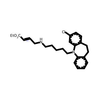 CCOC(=O)/C=C/CNCCCCCN1c2ccccc2CCc2ccc(Cl)cc21